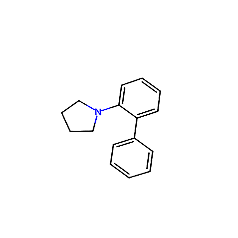 c1ccc(-c2ccccc2N2CCCC2)cc1